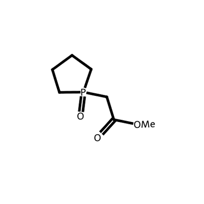 COC(=O)CP1(=O)CCCC1